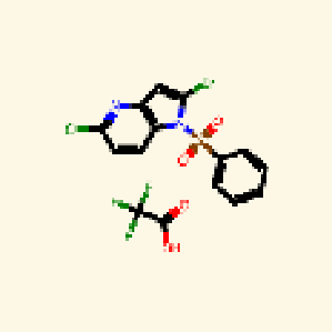 O=C(O)C(F)(F)F.O=S(=O)(c1ccccc1)n1c(Br)cc2nc(Cl)ccc21